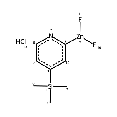 C[Si](C)(C)c1ccn[c]([Zn]([F])[F])c1.Cl